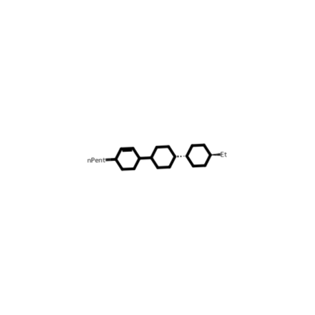 CCCCCC1C=CC(C2CCC([C@H]3CC[C@H](CC)CC3)CC2)CC1